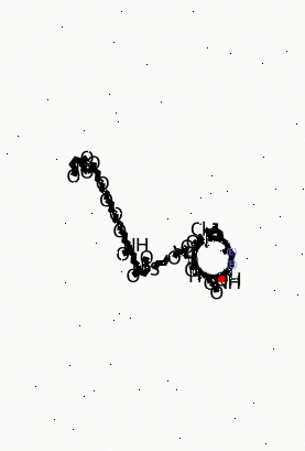 C/C1=C\C=C\[C@@H](C)[C@@]2(O)CC(OC(=O)N2)[C@@H](C)[C@@H]2O[C@@]2(C)[C@@H](CC(=O)[C@H](C)OCCCSC2CC(=O)N(CCC(=O)NCCOCCOCCOCCOCCC(=O)ON3C(=O)CCC3=O)C2=O)CC(=O)N(C)c2cc(cc(C)c2Cl)C1